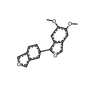 COc1cc2coc(-c3ccc4cocc4c3)c2cc1OC